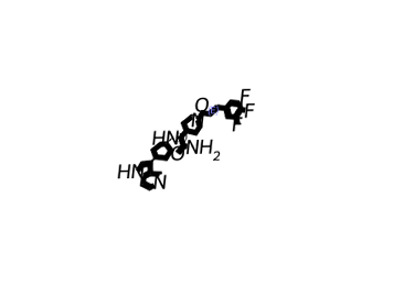 NC(=O)[C@H](N[C@H]1CC[C@H](c2c[nH]c3ccncc32)CC1)C1CCN(C(=O)/C=C/c2cc(F)c(F)c(F)c2)CC1